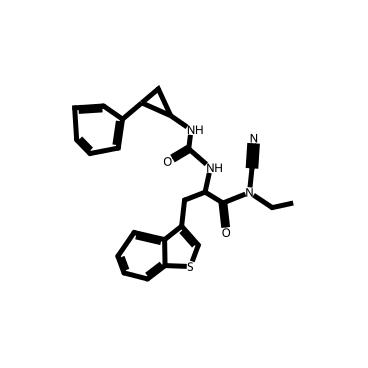 CCN(C#N)C(=O)C(Cc1csc2ccccc12)NC(=O)NC1CC1c1ccccc1